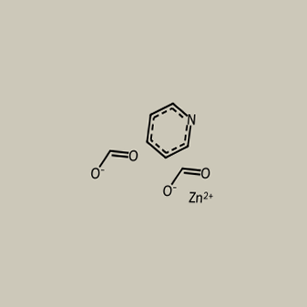 O=C[O-].O=C[O-].[Zn+2].c1ccncc1